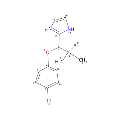 CC(=O)C(C)(C)C(Oc1ccc(Cl)cc1)c1ncc[nH]1